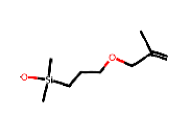 C=C(C)COCCC[Si](C)(C)[O]